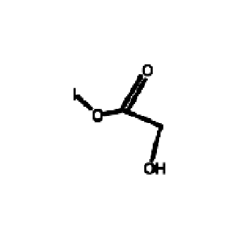 O=C(CO)OI